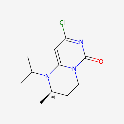 CC(C)N1c2cc(Cl)nc(=O)n2CC[C@H]1C